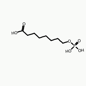 O=C(O)CCCCCCCOP(=O)(O)O